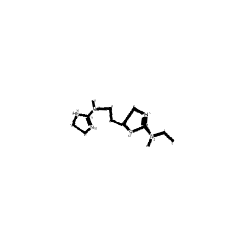 CCN(C)C1=NCC(CCN(C)C2=NCCN2)S1